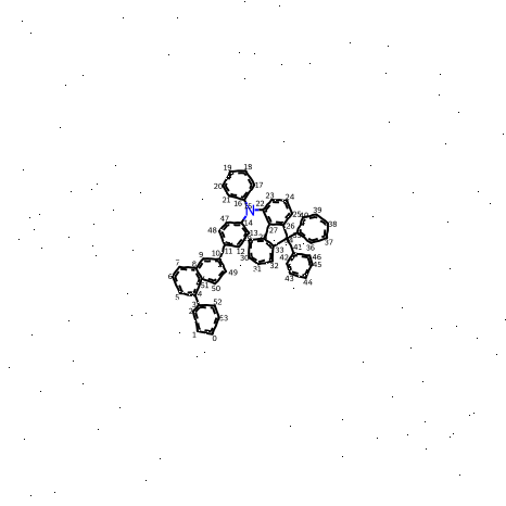 c1ccc(-c2cccc3cc(-c4ccc(N(c5ccccc5)c5cccc6c5-c5ccccc5C6(c5ccccc5)c5ccccc5)cc4)ccc23)cc1